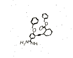 N=C(N)c1ccc(OCc2ccccc2)c(C#CC2CCCCC2C(=O)OCc2ccccc2)c1